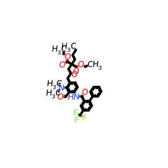 CCCCC(CC(=O)Cc1ccc(NC(=O)c2cc(C(F)(F)F)ccc2-c2ccccc2)c(C=O)c1N(C)C)(C(=O)OCC)C(=O)OCC